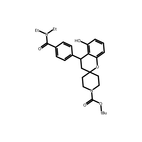 CCN(CC)C(=O)c1ccc(C2CC3(CCN(C(=O)OC(C)(C)C)CC3)Oc3cccc(O)c32)cc1